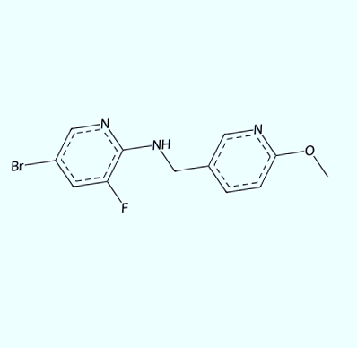 COc1ccc(CNc2ncc(Br)cc2F)cn1